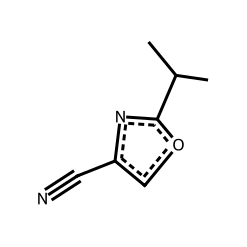 CC(C)c1nc(C#N)co1